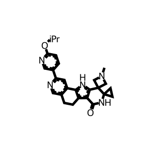 CC(C)Oc1ccc(-c2cc3c(cn2)CCc2c-3[nH]c3c2C(=O)NC2(CC2)C32CN(C)C2)cn1